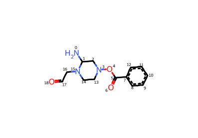 NC1CN(OC(=O)c2ccccc2)CCN1CC=O